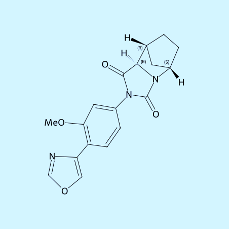 COc1cc(N2C(=O)[C@H]3[C@@H]4CC[C@@H](C4)N3C2=O)ccc1-c1cocn1